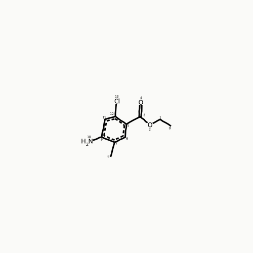 CCOC(=O)c1cc(C)c(N)cc1Cl